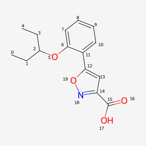 CCC(CC)Oc1ccccc1-c1cc(C(=O)O)no1